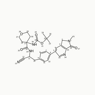 CN1Cc2cc(-c3ccc(CC(C#N)NC(=O)C4(NC(=O)OC(C)(C)C)CCOCC4)cc3)cnc2C1=O